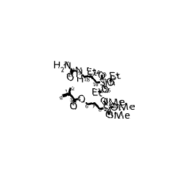 C=C(C)C(=O)OCCC[Si](OC)(OC)OC.CCO[Si](CCCNC(N)=O)(OCC)OCC